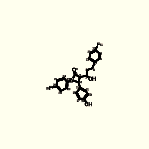 O=C1C(C(O)CCc2ccc(F)cc2)C(c2ccc(O)cc2)N1c1ccc(F)cc1